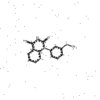 CSc1cccc(-n2c(=O)[nH]c(=O)c3cccnc32)c1